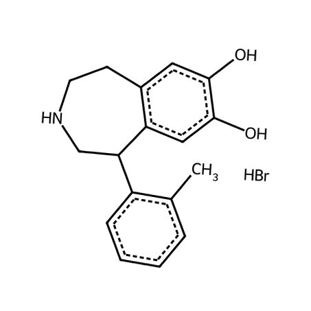 Br.Cc1ccccc1C1CNCCc2cc(O)c(O)cc21